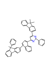 CC1(C)c2ccccc2-c2cc(-c3cc(-c4ccc(-c5ccc6c(c5)C(C)(c5ccccc5)c5ccccc5-6)c5ccccc45)nc(-c4ccccc4)n3)ccc21